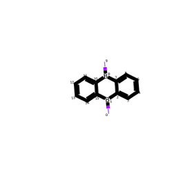 IB1c2ccccc2B(I)c2ccccc21